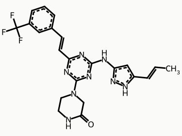 C/C=C/c1cc(Nc2nc(/C=C/c3cccc(C(F)(F)F)c3)nc(N3CCNC(=O)C3)n2)n[nH]1